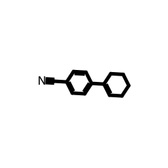 N#Cc1ccc(C2=CCCCC2)cc1